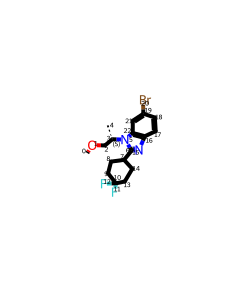 COC[C@H](C)n1c(C2CCC(F)(F)CC2)nc2ccc(Br)cc21